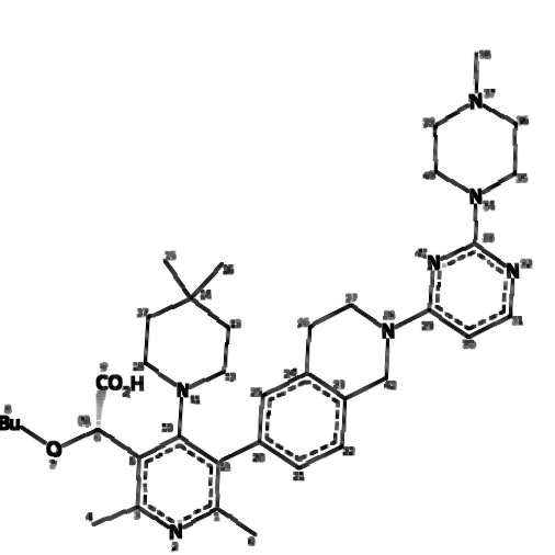 Cc1nc(C)c([C@H](OC(C)(C)C)C(=O)O)c(N2CCC(C)(C)CC2)c1-c1ccc2c(c1)CCN(c1ccnc(N3CCN(C)CC3)n1)C2